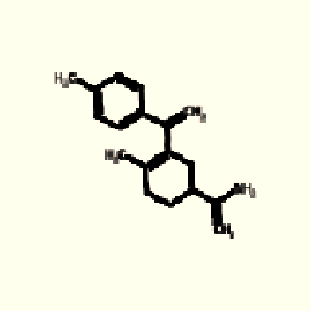 C=C(C1=C(C)CCC(C(=C)N)C1)c1ccc(C)cc1